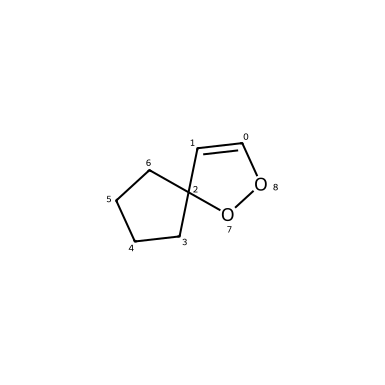 C1=CC2(CCCC2)OO1